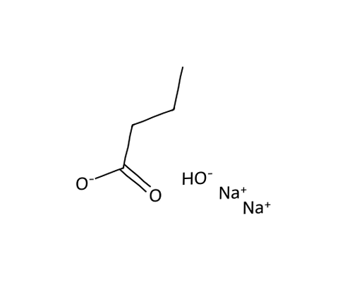 CCCC(=O)[O-].[Na+].[Na+].[OH-]